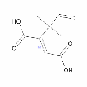 C=CC(C)(C)/C(=C\C(=O)O)C(=O)O